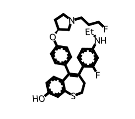 CCNc1ccc(C2=C(c3ccc(O[C@H]4CCN(CCCF)C4)cc3)c3ccc(O)cc3SCC2)c(F)c1